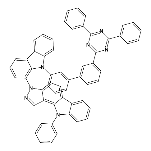 c1ccc(-c2nc(-c3ccccc3)nc(-c3cccc(-c4cccc(-n5c6ccccc6c6cccc(-n7ncc8c7ccc7c9ccccc9n(-c9ccccc9)c78)c65)c4)c3)n2)cc1